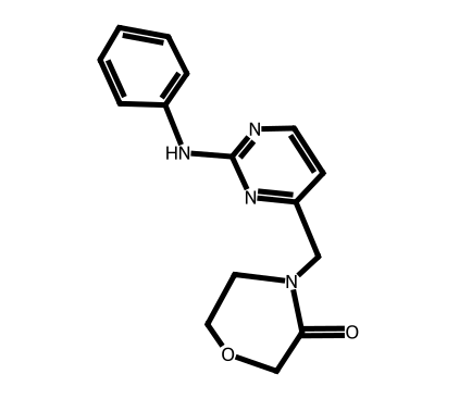 O=C1COCCN1Cc1ccnc(Nc2ccccc2)n1